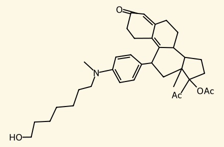 CC(=O)OC1(C(C)=O)CCC2C3CCC4=CC(=O)CCC4=C3C(c3ccc(N(C)CCCCCCCO)cc3)CC21C